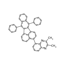 Cc1nc2cccc(-c3ccc4c5c(cccc35)-c3c-4c(-c4ccccc4)c4ccccc4c3-c3ccccc3)c2nc1C